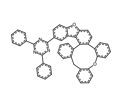 c1ccc(-c2nc(-c3ccccc3)nc(-c3ccc4oc5ccc6c(c5c4c3)-c3ccccc3Cc3ccccc3Oc3ccccc3-6)n2)cc1